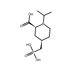 CC(C)N1CC[C@@H](CP(=O)(O)O)C[C@H]1C(=O)O